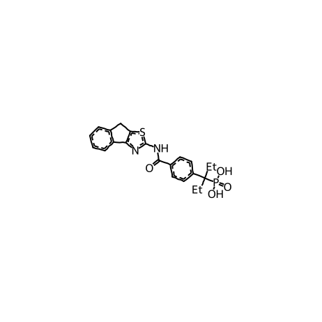 CCC(CC)(c1ccc(C(=O)Nc2nc3c(s2)Cc2ccccc2-3)cc1)P(=O)(O)O